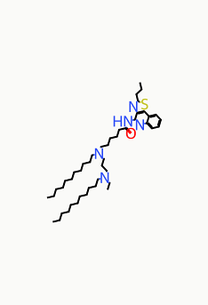 CCCCCCCCCCCN(CC)CCCN(CCCCCCCCCCC)CCCCCC(=O)Nc1nc2ccccc2c2sc(CCC)nc12